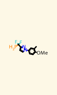 COc1ccc(-n2ccc(C(F)(F)P)n2)cc1C